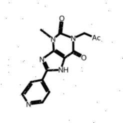 CC(=O)Cn1c(=O)c2[nH]c(-c3ccncc3)nc2n(C)c1=O